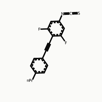 CCCc1ccc(C#Cc2c(F)cc(N=C=S)cc2F)cc1